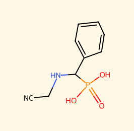 N#CCNC(c1ccccc1)P(=O)(O)O